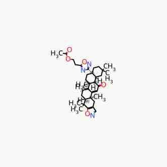 CC(=O)OCCc1nc([C@]23CCC(C)(C)C[C@H]2[C@H]2C(=O)C=C4[C@@]5(C)Cc6cnoc6C(C)(C)[C@@H]5CC[C@@]4(C)[C@]2(C)CC3)no1